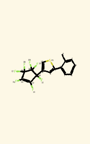 Cc1ccccc1-c1cc(C2(F)C(F)=C(F)C(F)(F)C2(F)F)cs1